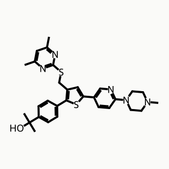 Cc1cc(C)nc(SCc2cc(-c3ccc(N4CCN(C)CC4)nc3)sc2-c2ccc(C(C)(C)O)cc2)n1